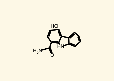 Cl.NC(=O)c1cccc2c1[nH]c1ccccc12